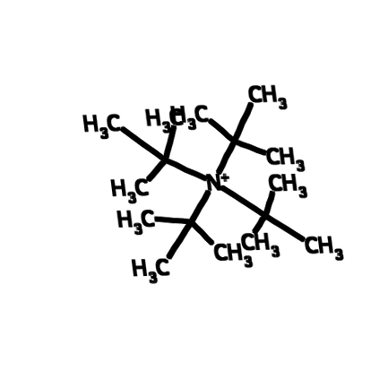 CC(C)(C)[N+](C(C)(C)C)(C(C)(C)C)C(C)(C)C